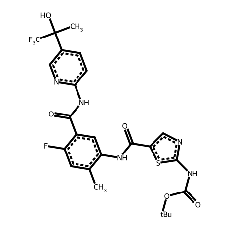 Cc1cc(F)c(C(=O)Nc2ccc(C(C)(O)C(F)(F)F)cn2)cc1NC(=O)c1cnc(NC(=O)OC(C)(C)C)s1